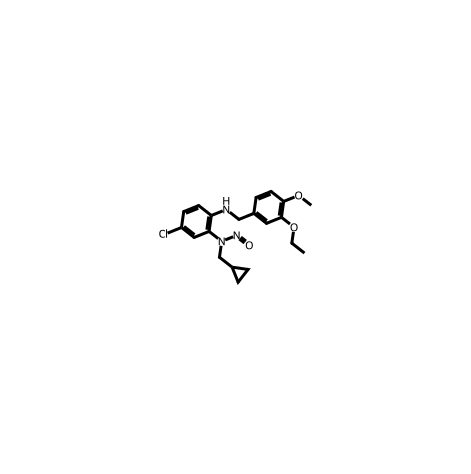 CCOc1cc(CNc2ccc(Cl)cc2N(CC2CC2)N=O)ccc1OC